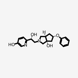 Oc1ccc([C@H](O)CN2C[C@H]3C[C@H](Oc4ccccc4)C[C@@]3(O)C2)nc1